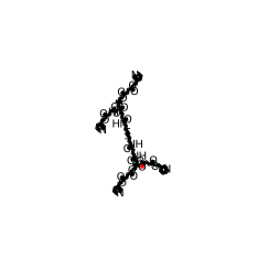 CC(C)(COC(=O)CCC(=O)OCc1cccnc1)[C@@H](OC(=O)CCC(=O)OCc1cccnc1)C(=O)NCCC(=O)NCCSSCCNC(=O)CCNC(=O)[C@H](OC(=O)CCC(=O)OCc1cccnc1)C(C)(C)COC(=O)CCC(=O)OCc1cccnc1